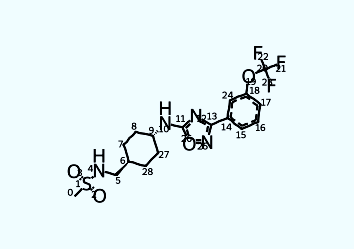 CS(=O)(=O)NC[C@H]1CC[C@H](Nc2nc(-c3cccc(OC(F)(F)F)c3)no2)CC1